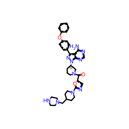 Nc1ncnc2c1c(-c1ccc(Oc3ccccc3)cc1)nn2[C@H]1CCCN(C(=O)c2cnc(N3CCC(CN4CCNCC4)CC3)o2)C1